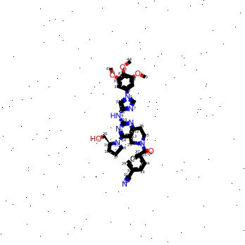 COc1cc(-n2cnc(Nc3nc4c(c(N5CCC[C@H]5CO)n3)CN(C(=O)c3ccc(C#N)cc3)CC4)c2)cc(OC)c1OC